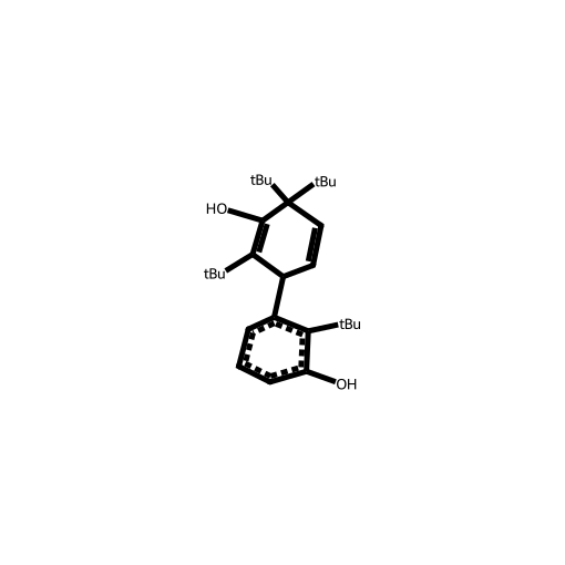 CC(C)(C)C1=C(O)C(C(C)(C)C)(C(C)(C)C)C=CC1c1cccc(O)c1C(C)(C)C